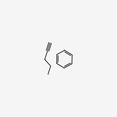 C#CCC[CH2].[c]1ccccc1